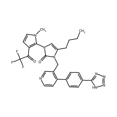 CCCCc1cn(-c2c(C(=O)C(F)(F)F)ccn2C)c(=O)n1Cc1cnccc1-c1ccc(-c2nnn[nH]2)cc1